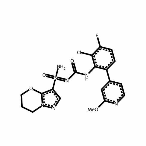 COc1cc(-c2ccc(F)c(Cl)c2NC(=O)N=S(N)(=O)c2cnn3c2OCCC3)ccn1